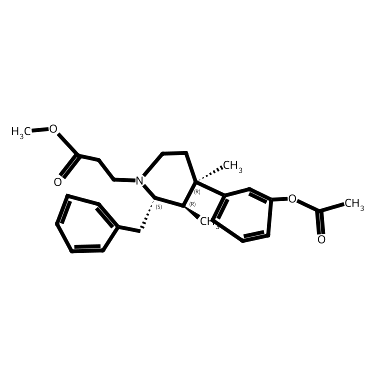 COC(=O)CCN1CC[C@@](C)(c2cccc(OC(C)=O)c2)[C@@H](C)[C@@H]1Cc1ccccc1